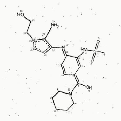 CS(=O)(=O)NC1=CC(=C(O)N2CCCCC2)C=CC1=Nc1cnn(CCO)c1N